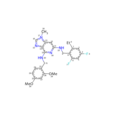 CCc1cc(F)cc(F)c1CNc1cc2c(ncn2C)c(NCc2ccc(OC)cc2OC)n1